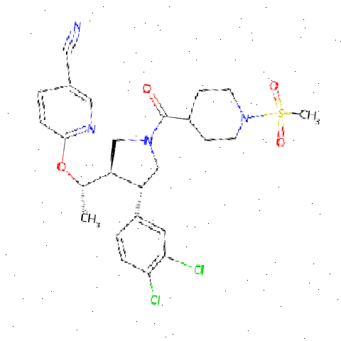 C[C@H](Oc1ccc(C#N)cn1)[C@H]1CN(C(=O)C2CCN(S(C)(=O)=O)CC2)C[C@@H]1c1ccc(Cl)c(Cl)c1